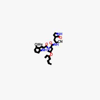 C=C/C(=C\C=C/C)OC1CC(C(=O)NC(C#N)CC2CCNC2=O)N(C(=O)c2cc3c(OC)cccc3[nH]2)C1